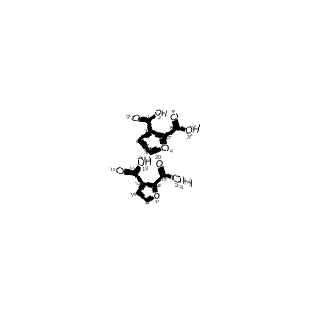 O=C(O)c1ccoc1C(=O)O.O=C(O)c1ccoc1C(=O)O